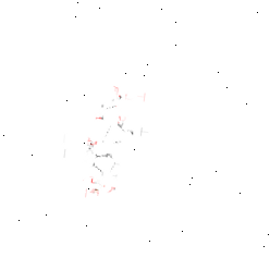 Cc1cc2c(c3c(=O)cc(C(=O)O)oc13)OC(C)(C)c1cc(S(=O)(=O)O)ccc1-2